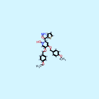 COc1ccc(COc2cc(C(ON)c3cccs3)[n+](O)cc2OCc2ccc(OC)cc2)cc1